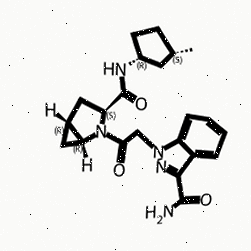 C[C@H]1CC[C@@H](NC(=O)[C@@H]2C[C@H]3C[C@H]3N2C(=O)Cn2nc(C(N)=O)c3ccccc32)C1